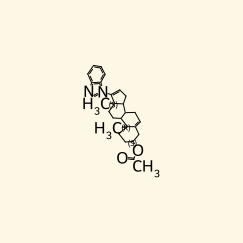 CC(=O)O[C@H]1CC[C@@]2(C)C(=CCC3C2CC[C@]2(C)C(n4cnc5ccccc54)=CCC32)C1